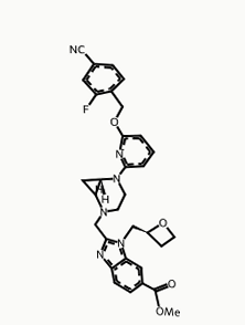 COC(=O)c1ccc2nc(CN3CCN(c4cccc(OCc5ccc(C#N)cc5F)n4)[C@H]4C[C@H]43)n(C[C@@H]3CCO3)c2c1